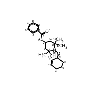 CC1(C)CC(OC(=O)c2ccccc2)CC(C)(C)N1OC1C=CCCC1